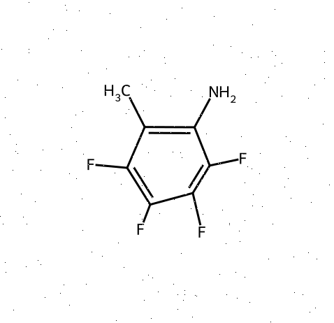 Cc1c(N)c(F)c(F)c(F)c1F